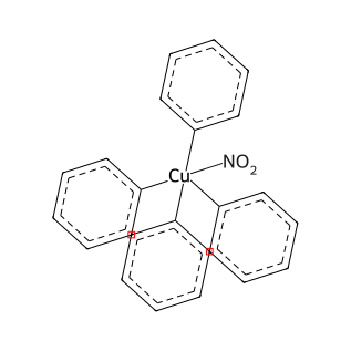 O=[N+]([O-])[Cu]([c]1ccccc1)([c]1ccccc1)([c]1ccccc1)[c]1ccccc1